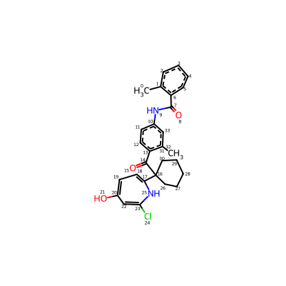 Cc1ccccc1C(=O)Nc1ccc(C(=O)C2(C3=CC=C(O)C=C(Cl)N3)CCCCC2)c(C)c1